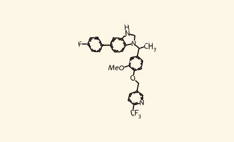 COc1cc(C(C)N2CNc3cc(-c4ccc(F)cc4)ccc32)ccc1OCc1ccc(C(F)(F)F)nc1